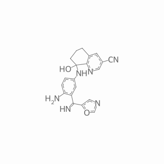 N#Cc1cnc2c(c1)CCCC2(O)Nc1ccc(N)c(C(=N)c2cnco2)c1